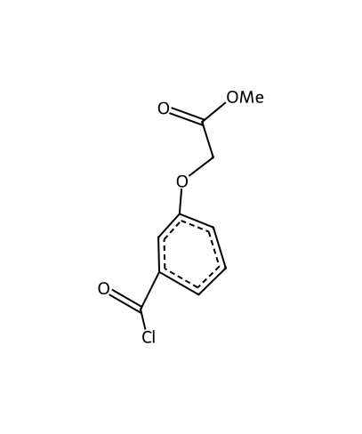 COC(=O)COc1cccc(C(=O)Cl)c1